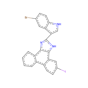 Brc1ccc2[nH]cc(-c3nc4c5ccccc5c5ccc(I)cc5c4[nH]3)c2c1